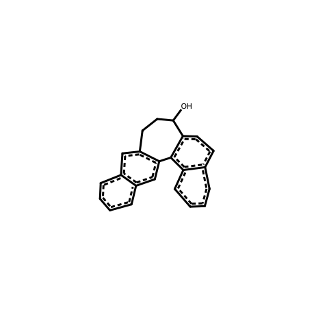 OC1CCc2cc3ccccc3cc2-c2c1ccc1ccccc21